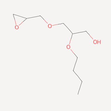 CCCCOC(CO)COCC1CO1